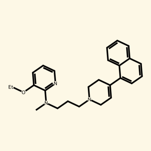 CCOc1cccnc1N(C)CCCN1CC=C(c2cccc3ccccc23)CC1